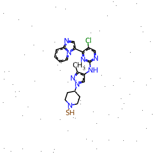 Cc1nn(C2CCN(S)CC2)cc1Nc1ncc(Cl)c(-c2cnc3ccccn23)n1